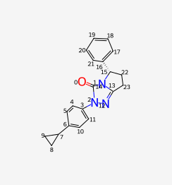 O=c1n(-c2ccc(C3CC3)cc2)nc2n1[C@H](c1ccccc1)CC2